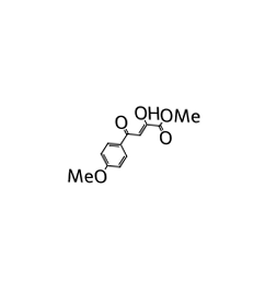 COC(=O)/C(O)=C/C(=O)c1ccc(OC)cc1